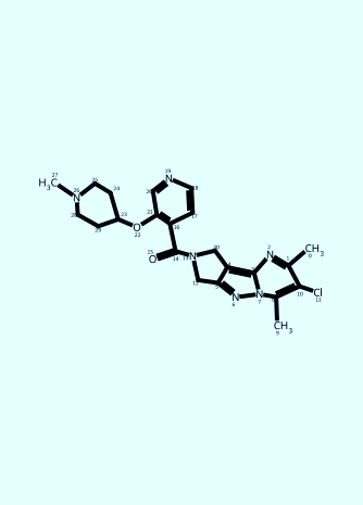 Cc1nc2c3c(nn2c(C)c1Cl)CN(C(=O)c1ccncc1OC1CCN(C)CC1)C3